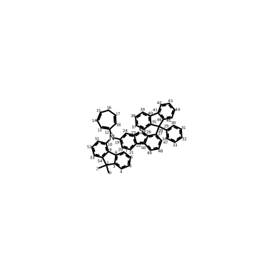 CC1(C)c2ccccc2-c2c(N(C3=CC=CCC=C3)c3ccc4c(c3)sc3c(C5(c6ccccc6)c6ccccc6-c6ccccc65)cccc34)cccc21